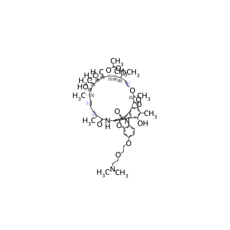 CO[C@H]1/C=C/O[C@@]2(C)Oc3c(C)c(O)c4c(=O)c(c5oc6cc(OCCOCCN(C)C)ccc6nc-5c4c3C2=O)NC(=O)/C(C)=C\C=C\[C@H](C)[C@H](O)[C@@H](C)[C@@H](C)[C@@H](C)[C@H](OC(C)=O)[C@@H]1C